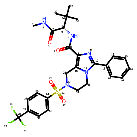 CNC(=O)[C@@H](NC(=O)c1nc(-c2ccccc2)n2c1CN(S(=O)(=O)c1ccc(C(F)(F)F)cc1)CC2)C(C)(C)C